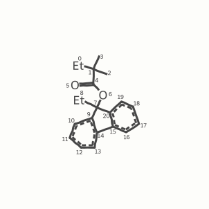 CCC(C)(C)C(=O)OC1(CC)c2ccccc2-c2ccccc21